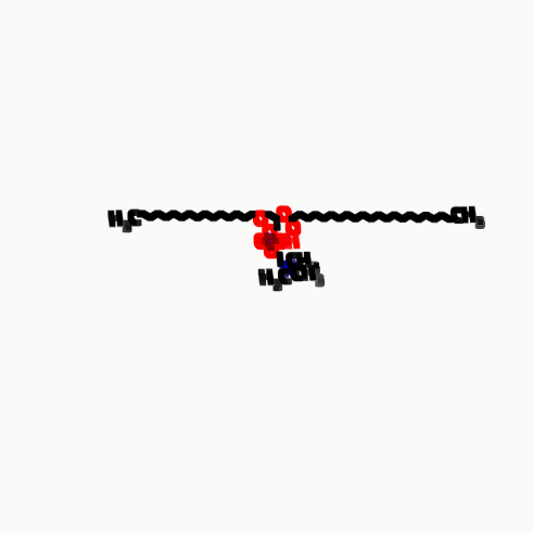 CCCCCCCCCCCCCCCCCCCCCC(=O)OC(COCCCCCCCCCCCCCCCC)COP(=O)(O)OCC[N+](C)(C)C